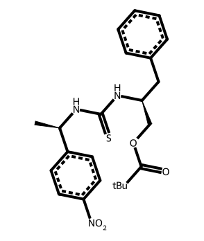 C[C@@H](NC(=S)N[C@H](COC(=O)C(C)(C)C)Cc1ccccc1)c1ccc([N+](=O)[O-])cc1